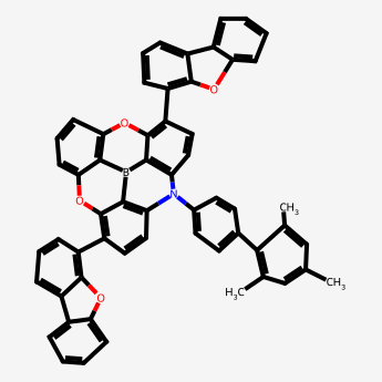 Cc1cc(C)c(-c2ccc(N3c4ccc(-c5cccc6c5oc5ccccc56)c5c4B4c6c(cccc6Oc6c(-c7cccc8c7oc7ccccc78)ccc3c64)O5)cc2)c(C)c1